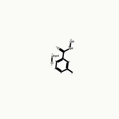 CCCCCCl.Cc1cccc(C(=O)NO)c1